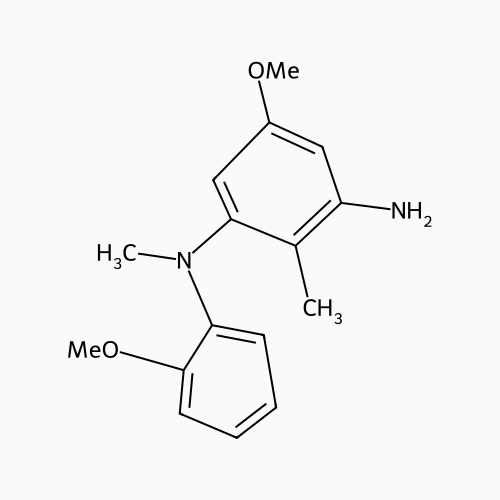 COc1cc(N)c(C)c(N(C)c2ccccc2OC)c1